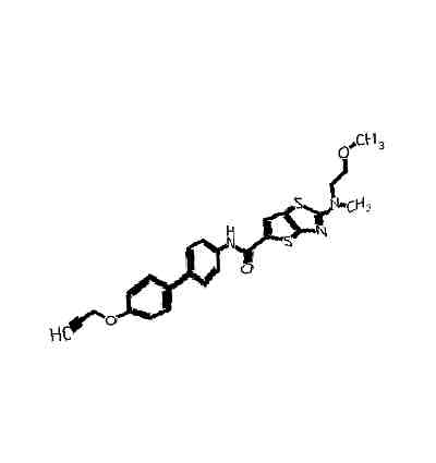 C#CCOc1ccc(-c2ccc(NC(=O)c3cc4sc(N(C)CCOC)nc4s3)cc2)cc1